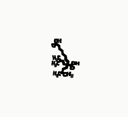 CC(C)CCC(CCCCCCCC(=O)O)(CCC(C)C)C(=O)O